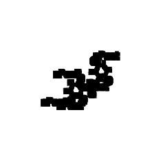 CCCCCOc1ccc(OCCCCC)c(C=CC(=O)c2c(OCCCCC)ccc(OCCCCC)c2OCCCCC)c1